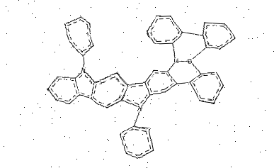 c1ccc(-n2c3ccccc3c3cc4c(cc32)c2cc3c(cc2n4-c2ccccc2)-c2ccccc2B2c4ccccc4-c4ccccc4N23)cc1